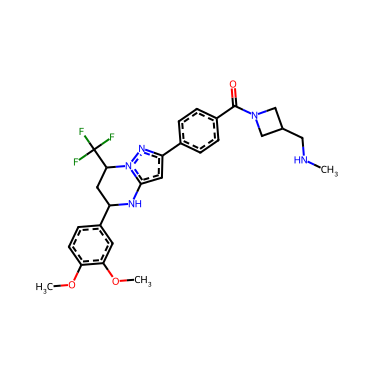 CNCC1CN(C(=O)c2ccc(-c3cc4n(n3)C(C(F)(F)F)CC(c3ccc(OC)c(OC)c3)N4)cc2)C1